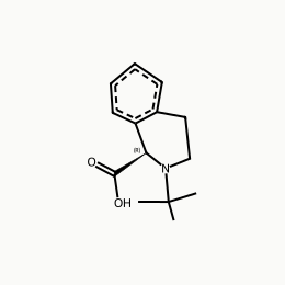 CC(C)(C)N1CCc2ccccc2[C@@H]1C(=O)O